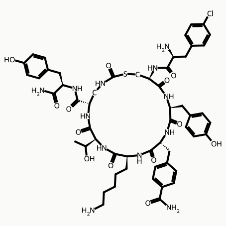 CC(O)[C@@H]1NC(=O)[C@H](CCCCCN)NC(=O)[C@@H](Cc2ccc(C(N)=O)cc2)NC(=O)[C@H](Cc2ccc(O)cc2)NC(=O)[C@H](NC(=O)[C@@H](N)Cc2ccc(Cl)cc2)CSC(=O)NC[C@@H](C(=O)N[C@H](Cc2ccc(O)cc2)C(N)=O)NC1=O